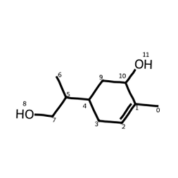 CC1=CCC(C(C)CO)CC1O